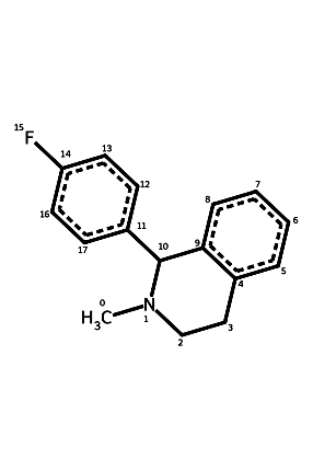 CN1CCc2ccccc2C1c1ccc(F)cc1